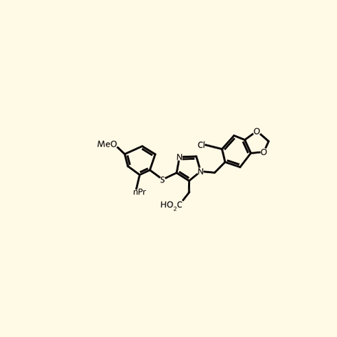 CCCc1cc(OC)ccc1Sc1ncn(Cc2cc3c(cc2Cl)OCO3)c1CC(=O)O